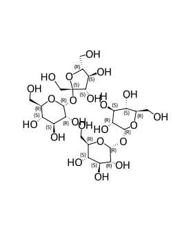 OC[C@H]1O[C@@](CO)(O[C@H]2O[C@H](CO)[C@@H](O)[C@H](O)[C@H]2O)[C@@H](O)[C@@H]1O.OC[C@H]1O[C@H](O[C@H]2O[C@H](CO)[C@@H](O)[C@H](O)[C@H]2O)[C@H](O)[C@@H](O)[C@@H]1O